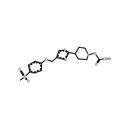 COC(=O)ON1CCC(c2nc(COc3ccc(S(C)(=O)=O)cc3)cs2)CC1